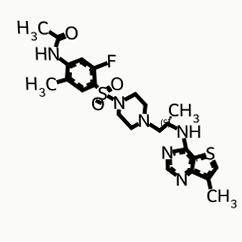 CC(=O)Nc1cc(F)c(S(=O)(=O)N2CCN(C[C@H](C)Nc3ncnc4c(C)csc34)CC2)cc1C